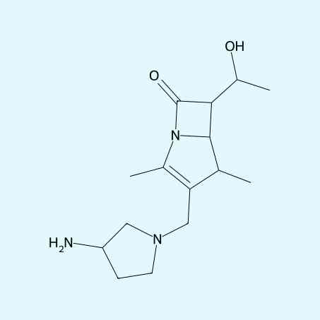 CC1=C(CN2CCC(N)C2)C(C)C2C(C(C)O)C(=O)N12